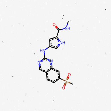 CNC(=O)c1cc(Nc2ncc3ccc(S(C)(=O)=O)cc3n2)c[nH]1